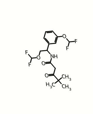 CC(C)(C)C(=O)CC(=O)NC(COC(F)F)c1cccc(OC(F)F)c1